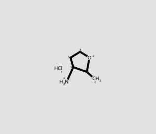 CC1OCCC1N.Cl